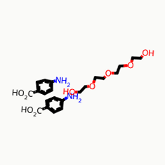 Nc1ccc(C(=O)O)cc1.Nc1ccc(C(=O)O)cc1.OCCOCCOCCOCCO